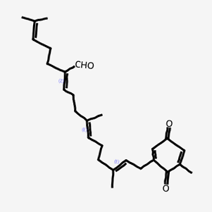 CC(C)=CCC/C(C=O)=C/CC/C(C)=C/CC/C(C)=C/CC1=CC(=O)C=C(C)C1=O